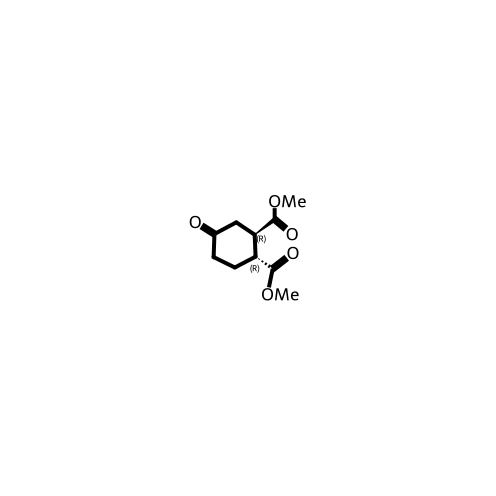 COC(=O)[C@@H]1CCC(=O)C[C@H]1C(=O)OC